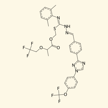 Cc1cccc(C)c1/N=C(/N/N=C/c1ccc(-c2ncn(-c3ccc(OC(F)(F)F)cc3)n2)cc1)SCOC(=O)C(C)OCC(F)(F)F